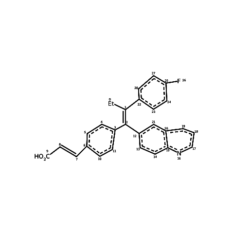 CCC(=C(c1ccc(C=CC(=O)O)cc1)c1ccc2ncccc2c1)c1ccc(F)cc1